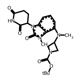 CN(c1cccc2c1n(C)c(=O)n2C1CCC(=O)NC1=O)C1CN(C(=O)OC(C)(C)C)C1